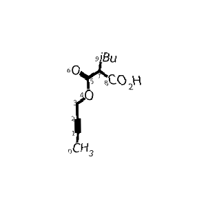 CC#CCOC(=O)C(C(=O)O)C(C)CC